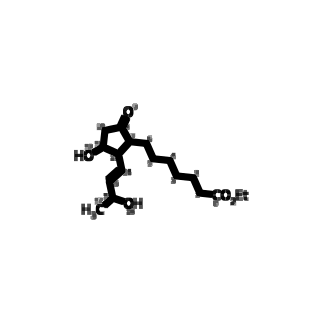 CCOC(=O)CCCCCCC1C(=O)CC(O)C1C=CC(C)O